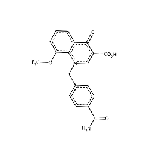 NC(=O)c1ccc(Cn2cc(C(=O)O)c(=O)c3cccc(OC(F)(F)F)c32)cc1